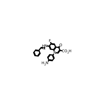 Nc1ccc(-n2cc(C(=O)O)c(=O)c3cc(F)c(NN=Cc4ccccc4)cc32)cc1